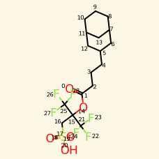 O=C(CCCC1CC2CCCC(C1)C2)OC(CS(=O)(=O)O)(C(F)(F)F)C(F)(F)F